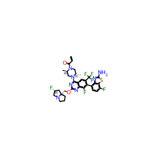 C=CC(=O)N1C[C@H](C)N(c2nc(OC[C@]34CCCN3C[C@H](F)C4)nc3c(F)c(-c4ccc(F)c5sc(N)nc45)c(C(F)(F)F)cc23)C[C@H]1C